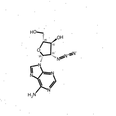 [N-]=[N+]=N[C@H]1[C@H](O)[C@@H](CO)O[C@H]1n1cnc2c(N)ncnc21